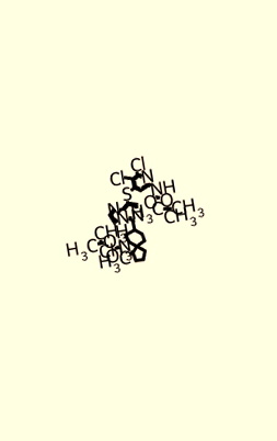 CC(C)(C)OC(=O)Nc1cc(Sc2cnc(C3CCC4(CCCC4(C)NC(=O)OC(C)(C)C)CC3)n3ccnc23)c(Cl)c(Cl)n1